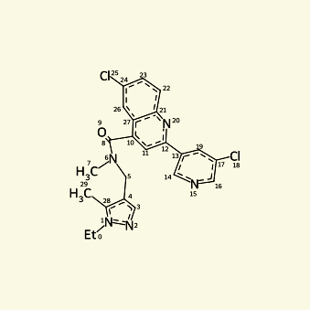 CCn1ncc(CN(C)C(=O)c2cc(-c3cncc(Cl)c3)nc3ccc(Cl)cc23)c1C